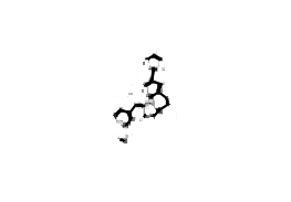 CCN(C[C@@]1(C)CCc2cc(-c3ncccn3)c(C)nc2N1)C(=O)[C@@H](C)c1ccnc(OC(F)F)c1